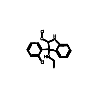 CCNC1(c2ccccc2Cl)c2ccccc2NC1OCl